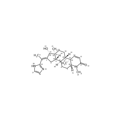 CC(=C1C[C@H]2[C@@H]3CC[C@H]4N(C)C(=O)C=C[C@]4(C)[C@H]3CC[C@]2(C)[C@H]1O)c1ncc[nH]1